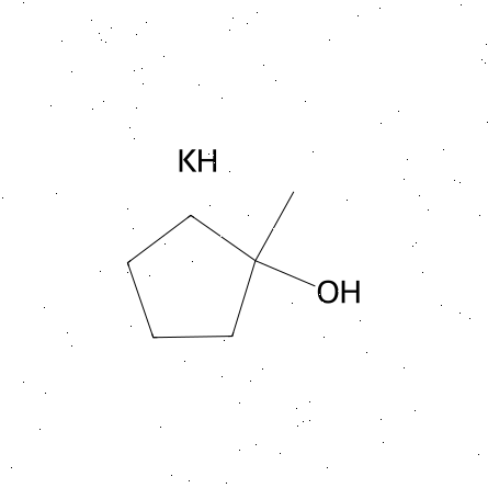 CC1(O)CCCC1.[KH]